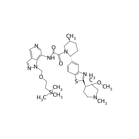 CO[C@@]1(C)CN(C)CC[C@H]1c1nc2cc([C@H]3CC[C@H](C)CN3C(=O)C(=O)Nc3cncc4cnn(COCC[Si](C)(C)C)c34)ccc2s1